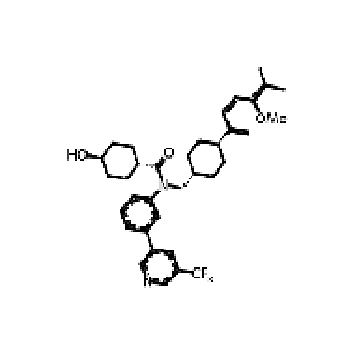 C=C(/C=C\C(OC)=C(C)C)[C@H]1CC[C@H](CN(c2cccc(-c3cncc(C(F)(F)F)c3)c2)C(=O)[C@H]2CC[C@H](O)CC2)CC1